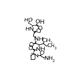 CCC(C)C(NC(=O)[C@@H]1CCCN1C(=O)CN)C(=O)NCC(=O)NC(CO)C(=O)O